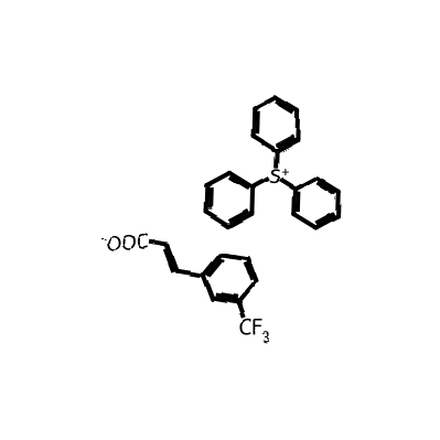 O=C([O-])C=Cc1cccc(C(F)(F)F)c1.c1ccc([S+](c2ccccc2)c2ccccc2)cc1